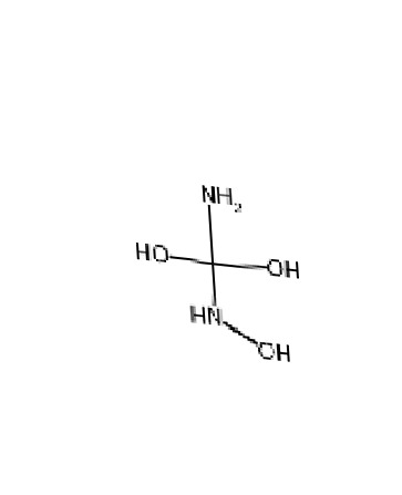 NC(O)(O)NO